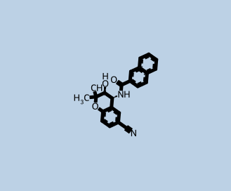 CC1(C)Oc2ccc(C#N)cc2[C@@H](NC(=O)c2ccc3ccccc3c2)[C@@H]1O